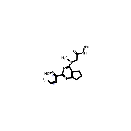 C/C=C\C(=N/O)c1nc2c(c(N(C)CC(=O)NC(C)(C)C)n1)CCC2